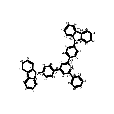 C1=Cc2c(c3ccccc3n2-c2ccc(-c3cc(-c4ccccc4)nc(-c4ccc(-n5c6ccccc6c6ccccc65)cc4)c3)cc2)CC1